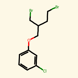 Clc1cccc(OCC(CBr)CCBr)c1